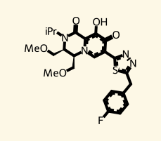 COC[C@@H]1[C@H](COC)n2cc(-c3nnc(Cc4ccc(F)cc4)s3)c(=O)c(O)c2C(=O)N1C(C)C